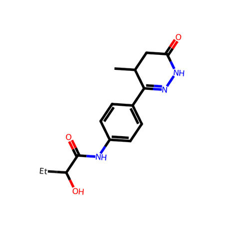 CCC(O)C(=O)Nc1ccc(C2=NNC(=O)CC2C)cc1